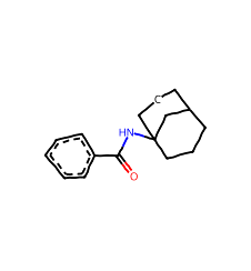 O=C(NC12CCCC(CCC1)C2)c1ccccc1